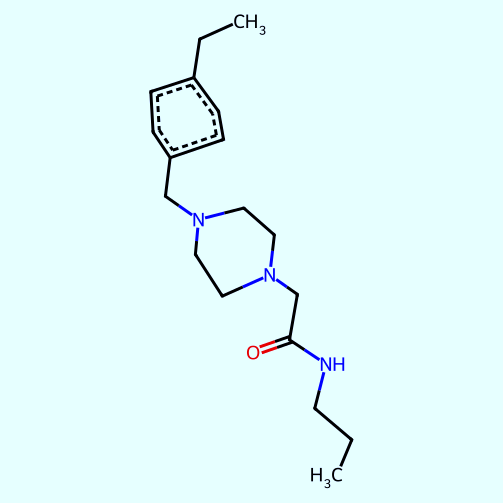 CCCNC(=O)CN1CCN(Cc2ccc(CC)cc2)CC1